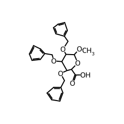 COC1OC(C(=O)O)C(OCc2ccccc2)C(OCc2ccccc2)C1OCc1ccccc1